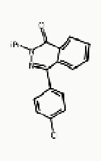 CC(C)n1nc(-c2ccc(Cl)cc2)c2ccccc2c1=O